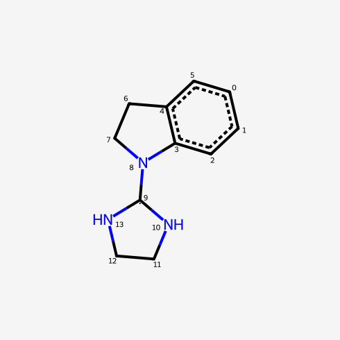 c1ccc2c(c1)CCN2[C]1NCCN1